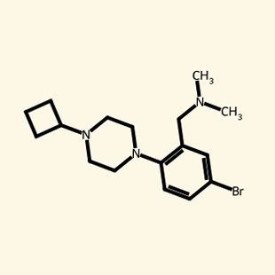 CN(C)Cc1cc(Br)ccc1N1CCN(C2CCC2)CC1